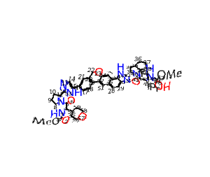 COC(=O)N[C@H](C(=O)N1CCCC1c1ncc(-c2ccc3c(c2)COc2cc4c(ccc5nc([C@@H]6CC7CCC[C@@H]7N6C(=O)[C@@H](NC(O)OC)C(C)C)[nH]c54)cc2-3)[nH]1)C1CCOCC1